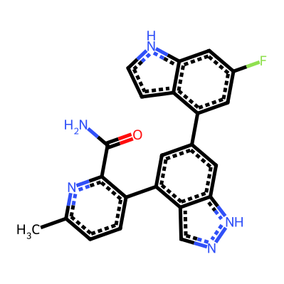 Cc1ccc(-c2cc(-c3cc(F)cc4[nH]ccc34)cc3[nH]ncc23)c(C(N)=O)n1